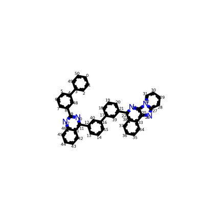 c1ccc(-c2cccc(-c3nc(-c4cccc(-c5cccc(-c6nc7c(nc8ccccn87)c7ccccc67)c5)c4)c4ccccc4n3)c2)cc1